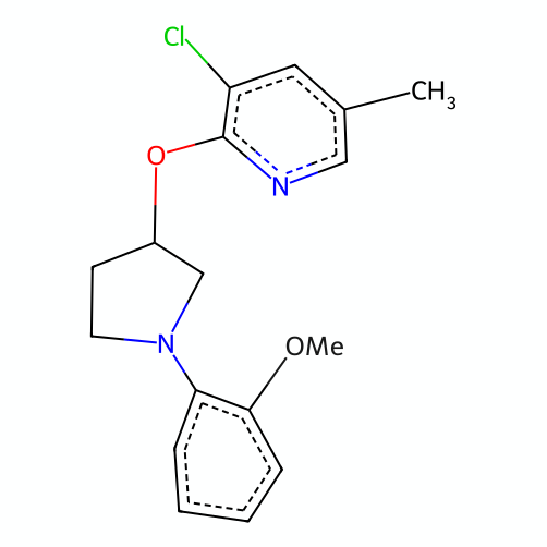 COc1ccccc1N1CCC(Oc2ncc(C)cc2Cl)C1